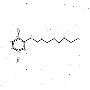 CCCCCCCCOc1cc(Cl)ccc1Cl